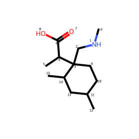 CNCC1(C(C)C(=O)O)CCC(C)CC1C